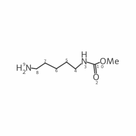 COC(=O)NCCCCCN